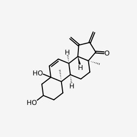 C=C1C(=C)[C@H]2[C@@H]3C=CC4(O)CC(O)CC[C@]4(C)[C@@H]3CC[C@]2(C)C1=O